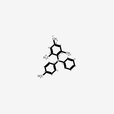 Cc1ccc(N(c2ccccc2)c2c(C)cc(C)cc2C)cc1